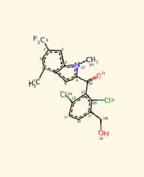 Cc1cc(C(F)(F)F)cc2c1cc(C(=O)c1c(Cl)ccc(CO)c1Cl)n2C